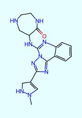 CN1C=C(c2nc3c4ccccc4nc(NC4CNCCNC4=O)n3n2)CN1